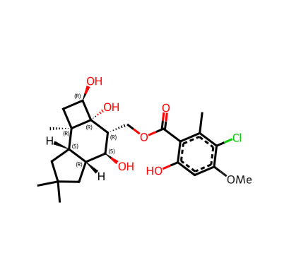 COc1cc(O)c(C(=O)OC[C@@H]2[C@@H](O)[C@@H]3CC(C)(C)C[C@@H]3[C@@]3(C)C[C@@H](O)[C@@]23O)c(C)c1Cl